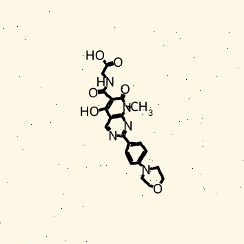 Cn1c(=O)c(C(=O)NCC(=O)O)c(O)c2cnc(-c3ccc(N4CCOCC4)cc3)nc21